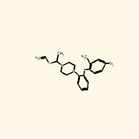 C=COC(C)N1CCN(c2ccccc2Sc2ccc(C)cc2C)CC1